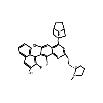 CN1CCC[C@H]1COc1nc(N2CC3CCC(C2)N3)c2cc(Cl)c(-c3c(F)c(O)cc4ccccc34)c(F)c2n1